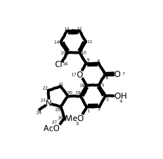 COc1cc(O)c2c(=O)cc(-c3ccccc3Cl)oc2c1C1CCN(C)C1COC(C)=O